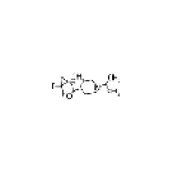 CC(C)N1CCN(C(=O)[C@]2(C)CC2(F)F)CC1